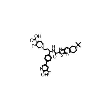 CC(C)(C)[C@H]1CCc2nc3sc(C(=O)NC(CCN4CC[C@H](C(=O)O)[C@@H](F)C4)c4ccc(-c5cnc(O)c(F)c5)cc4)nc3cc2C1